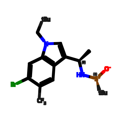 C[C@@H](N[S@@+]([O-])C(C)(C)C)c1cn(CC(C)(C)C)c2cc(Br)c(C(F)(F)F)cc12